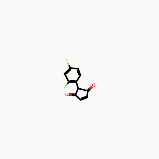 O=C1C=CC(=O)C1c1ccc(F)cc1F